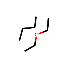 CCCC.CCOCC